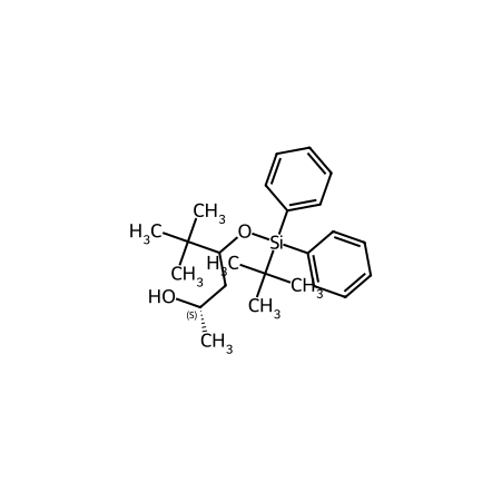 C[C@H](O)CC(O[Si](c1ccccc1)(c1ccccc1)C(C)(C)C)C(C)(C)C